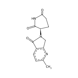 Cc1ccc2c(n1)CN([C@@H]1CCC(=O)NC1=O)C2=O